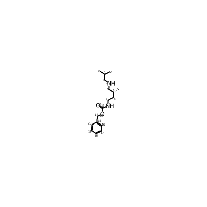 CC(C)CNC[C@H](C)CCNC(=O)OCc1ccccc1